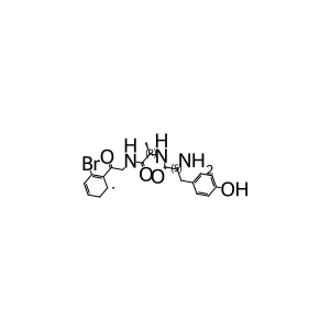 C[C@@H](NC(=O)[C@@H](N)Cc1ccc(O)cc1)C(=O)NCC(=O)C1=C(Br)C=CC[CH]1